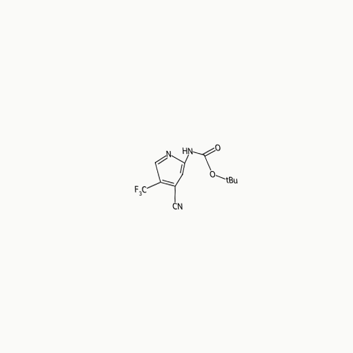 CC(C)(C)OC(=O)Nc1cc(C#N)c(C(F)(F)F)cn1